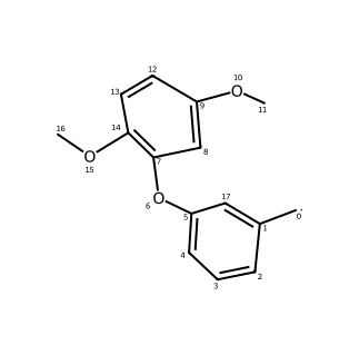 [CH2]c1cccc(Oc2cc(OC)ccc2OC)c1